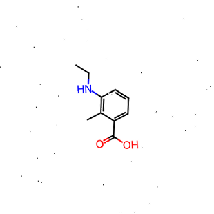 CCNc1cccc(C(=O)O)c1C